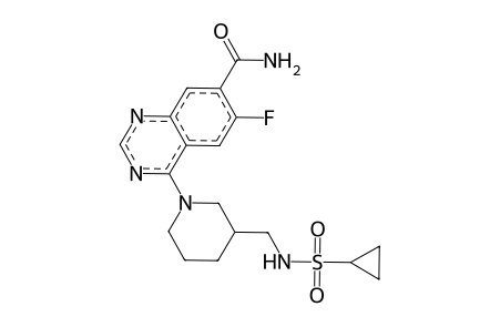 NC(=O)c1cc2ncnc(N3CCCC(CNS(=O)(=O)C4CC4)C3)c2cc1F